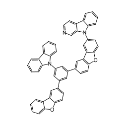 c1ccc2c(c1)oc1ccc(-c3cc(-c4ccc5oc6ccc(-n7c8ccccc8c8ccncc87)cc6c5c4)cc(-n4c5ccccc5c5ccccc54)c3)cc12